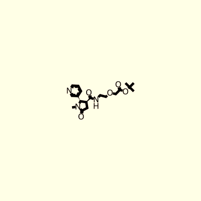 CN1C(=O)C[C@H](C(=O)NCCOCC(=O)OC(C)(C)C)[C@H]1c1cccnc1